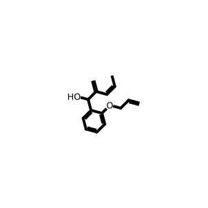 C=CCOc1ccccc1C(O)C(=C)/C=C\C